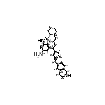 Nc1cc(C(CCCC2CCCCC2)c2cnn(Cc3ccc4c(c3)CCNC4)c2)c2nn[nH]c2n1